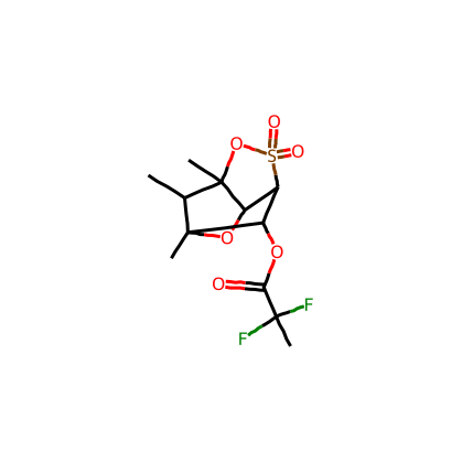 CC1C2(C)OC3C(C2OC(=O)C(C)(F)F)S(=O)(=O)OC31C